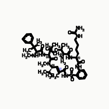 CN[C@H](C(=O)N[C@H](C(=O)N(C)[C@H](/C=C(\C)C(=O)NS(=O)(=O)c1ccccc1NC(=O)[C@H](CCCCNC(N)=O)NC(=O)[C@@H](N)C(C)C)C(C)C)C(C)(C)C)C(C)(C)c1ccccc1